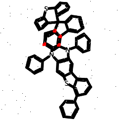 c1ccc(-c2cccc3c2sc2cc(N(c4ccccc4)c4ccc5c(c4)-c4ccccc4C54c5ccccc5Sc5ccccc54)c(N(c4ccccc4)c4ccccc4)cc23)cc1